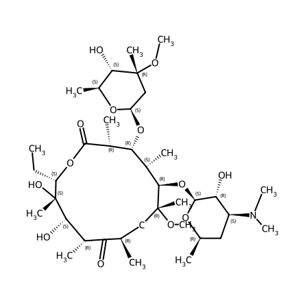 CC[C@@H]1OC(=O)[C@H](C)[C@H](O[C@@H]2C[C@@](C)(OC)[C@@H](O)[C@H](C)O2)[C@H](C)[C@@H](O[C@@H]2O[C@H](C)C[C@H](N(C)C)[C@H]2O)[C@](C)(OC)C[C@@H](C)C(=O)[C@H](C)[C@H](O)[C@]1(C)O